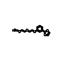 CCCCOCCOCCOc1cccc(C2OC=CO2)c1